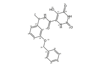 CC(NC(=O)c1[nH]c(=O)[nH]c(=O)c1O)c1cccc(OCc2ccccc2)c1